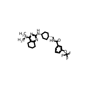 CN(C)c1nc(N[C@H]2CC[C@@H](CNC(=O)c3cccc(OC(F)(F)F)c3)CC2)nc2c1CCCC2